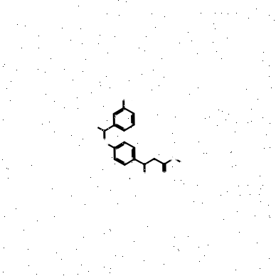 CC(CC(=O)NO)c1ccc(OC(C)c2cccc(C(F)(F)F)c2)cc1